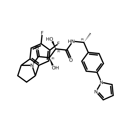 C[C@@H](NC(=O)[C@H](O)[C@@H](O)C(=O)N1C2CCC1c1cc(F)c(F)cc12)c1ccc(-n2cccn2)cc1